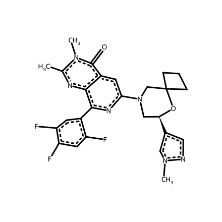 Cc1nc2c(-c3cc(F)c(F)cc3F)nc(N3C[C@H](c4cnn(C)c4)OC4(CCC4)C3)cc2c(=O)n1C